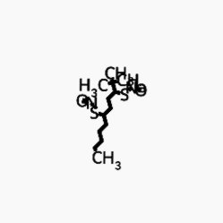 CCCCCC(CCC(SN=O)C(C)(C)C)SN=O